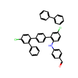 O=Cc1ccc(Nc2ccc(Cl)cc2-c2ccc(-c3ccc(Cl)cc3-c3ccccc3)cc2)cc1.c1ccc(-c2ccccc2)cc1